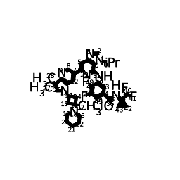 CC(C)n1cnc2cc(-c3cnc4c(c3)N([C@H]3C[C@@](C)(N5CCCCC5)C3)CC4(C)C)nc(Nc3cc(C(=O)NC4(C(F)F)CC4)c(Cl)c(F)c3F)c21